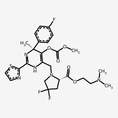 COC(=O)OC1=C(CN2CC(F)(F)C[C@H]2C(=O)OCCN(C)C)NC(c2nccs2)=N[C@@]1(C)c1ccc(F)cc1